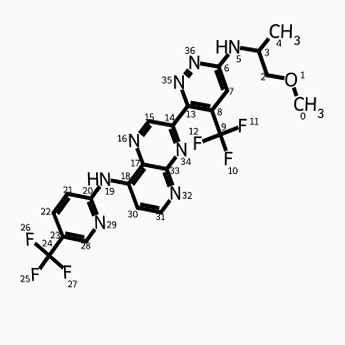 COCC(C)Nc1cc(C(F)(F)F)c(-c2cnc3c(Nc4ccc(C(F)(F)F)cn4)ccnc3n2)nn1